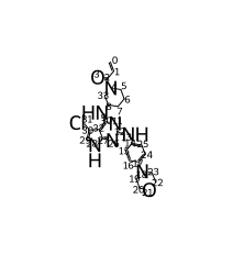 C=CC(=O)N1CCC[C@@H](Nc2nc(Nc3ccc(N4CCOCC4)cc3)nc3[nH]cc(Cl)c23)C1